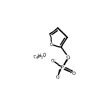 O.O=P([O-])([O-])Oc1ccco1.[Ca+2]